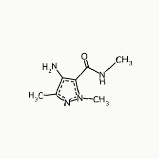 CNC(=O)c1c(N)c(C)nn1C